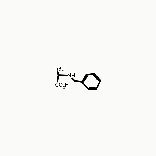 CCCCC(NCc1ccccc1)C(=O)O